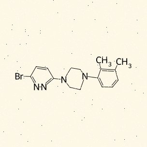 Cc1cccc(N2CCN(c3ccc(Br)nn3)CC2)c1C